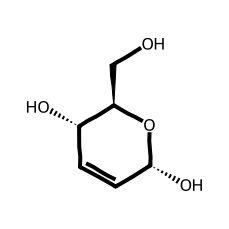 OC[C@H]1O[C@H](O)C=C[C@@H]1O